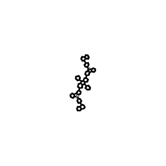 c1ccc(-c2c3ccc(-c4ccc5c(c4)c4ccccc4n5-c4ccc(-c5cccc6ccccc56)cc4)cc3c(-c3ccccc3)c3ccc(-c4ccc5c(c4)c4ccccc4n5-c4ccc(-c5cccc6ccccc56)cc4)cc23)cc1